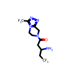 NC(CC(=O)N1CCn2c(nnc2C(F)(F)F)C1)CC(F)(F)F